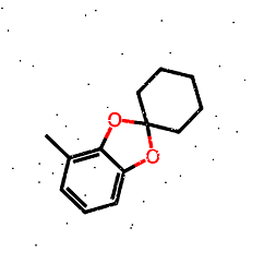 Cc1cccc2c1OC1(CCCCC1)O2